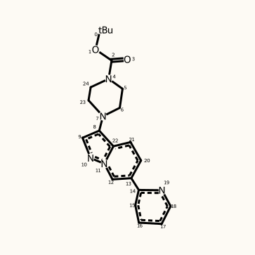 CC(C)(C)OC(=O)N1CCN(c2cnn3cc(-c4ccccn4)ccc23)CC1